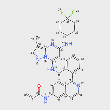 C=CC(=O)Nc1ccc2c(-c3ccccc3CNc3cc(NC4CCC(F)(F)CC4)nc4c(C(C)C)cnn34)nccc2c1